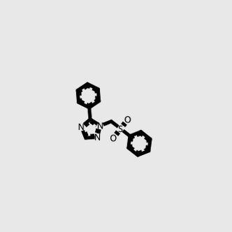 O=S(=O)(Cn1ncnc1-c1ccccc1)c1ccccc1